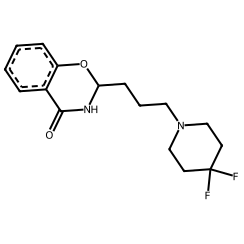 O=C1NC(CCCN2CCC(F)(F)CC2)Oc2ccccc21